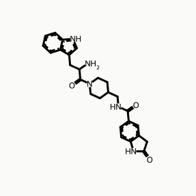 NC(Cc1c[nH]c2ccccc12)C(=O)N1CCC(CNC(=O)c2ccc3c(c2)CC(=O)N3)CC1